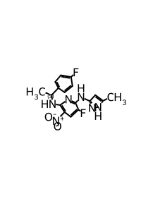 Cc1cc(Nc2nc(N[C@@H](C)c3ccc(F)cc3)c([N+](=O)[O-])cc2F)n[nH]1